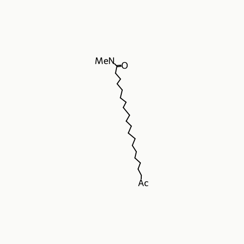 CNC(=O)CCCCCCCCCCCCCCCCCCC(C)=O